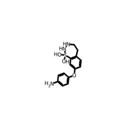 Nc1ccc(Oc2ccc3c(c2)S(O)(O)NNCC3)cc1